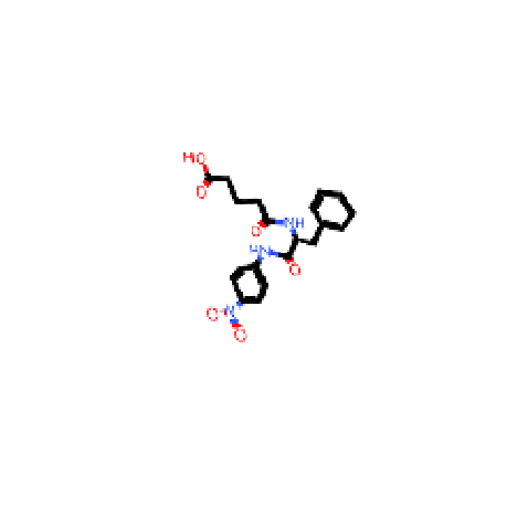 O=C(O)CCCC(=O)N[C@@H](Cc1ccccc1)C(=O)Nc1ccc([N+](=O)[O-])cc1